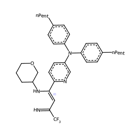 CCCCCc1ccc(N(c2ccc(CCCCC)cc2)c2ccc(/C(=C/C(=N)C(F)(F)F)NC3CCCOC3)nc2)cc1